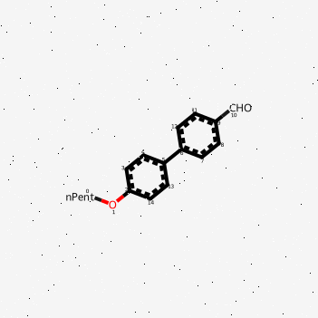 CCCCCOc1ccc(-c2ccc(C=O)cc2)cc1